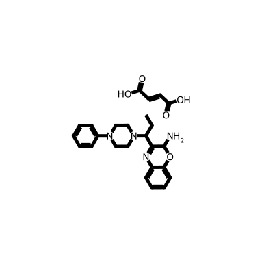 CCC(C1=Nc2ccccc2OC1N)N1CCN(c2ccccc2)CC1.O=C(O)C=CC(=O)O